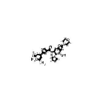 C=C/C=C(\C=C(C)C)c1nc(C(=O)N/C(=C/c2oc(N3CCOCC3)nc2N=C)CN2CCCC2)co1